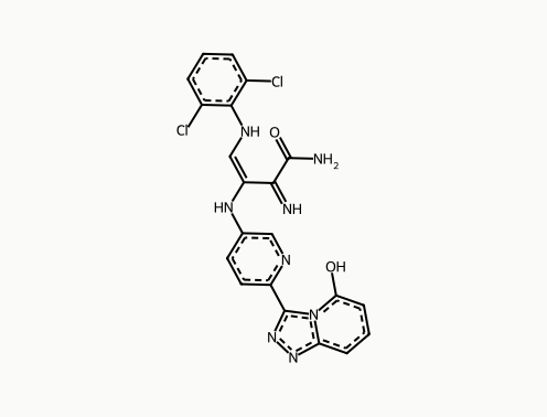 N=C(C(N)=O)/C(=C\Nc1c(Cl)cccc1Cl)Nc1ccc(-c2nnc3cccc(O)n23)nc1